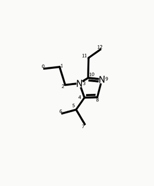 CCCn1c(C(C)C)cnc1CC